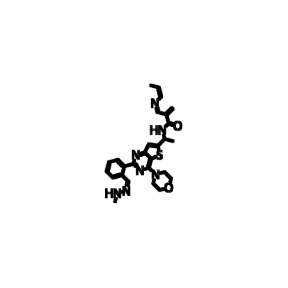 C=C(/C=N\C=C/C)C(=O)NC(C)c1cc2nc(-c3ccccc3/C=N\NC)nc(N3CCOCC3)c2s1